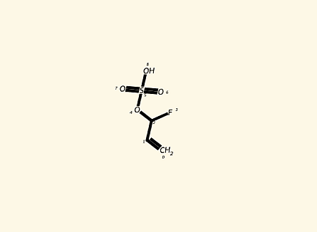 C=CC(F)OS(=O)(=O)O